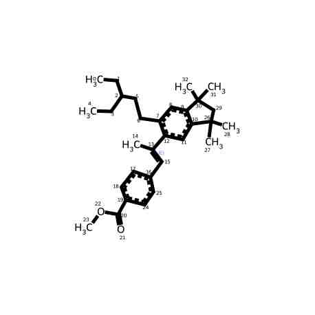 CCC(CC)CCc1cc2c(cc1/C(C)=C/c1ccc(C(=O)OC)cc1)C(C)(C)CC2(C)C